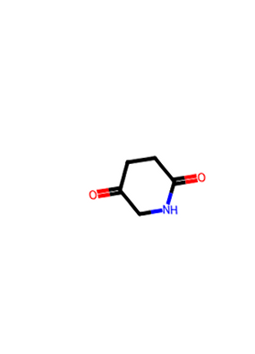 O=C1CCC(=O)NC1